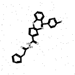 O=C(Cc1ccccc1)NNC(=O)c1ccc2c(c1)N=C(c1ccc(F)cc1)c1ccccc1S2